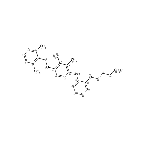 Cc1cccc(C)c1COc1ccc(Nc2ccccc2OCCCC(=O)O)c(C)c1C